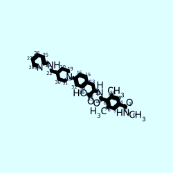 CNC(=O)c1cc(C)c(C(=O)NC(Cc2ccc(N3CCC(CNc4ccccn4)CC3)cc2)C(=O)O)c(C)c1